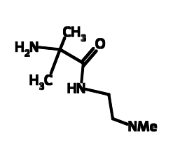 CNCCNC(=O)C(C)(C)N